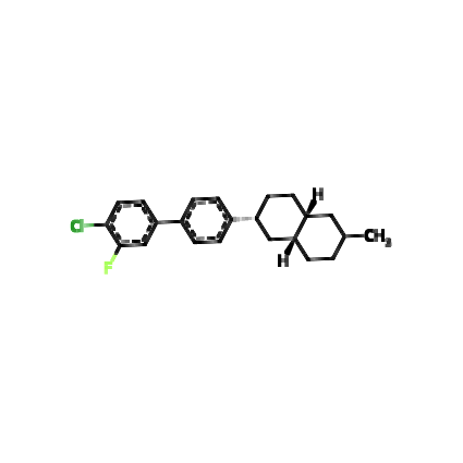 CC1CC[C@@H]2C[C@H](c3ccc(-c4ccc(Cl)c(F)c4)cc3)CC[C@@H]2C1